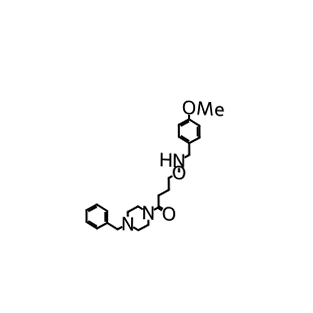 COc1ccc(CNOCCCC(=O)N2CCN(Cc3ccccc3)CC2)cc1